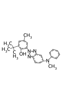 Cc1cc(-n2nc3ccc(N(C)c4ccccc4)cc3n2)c(O)c(C(C)(C)C)c1